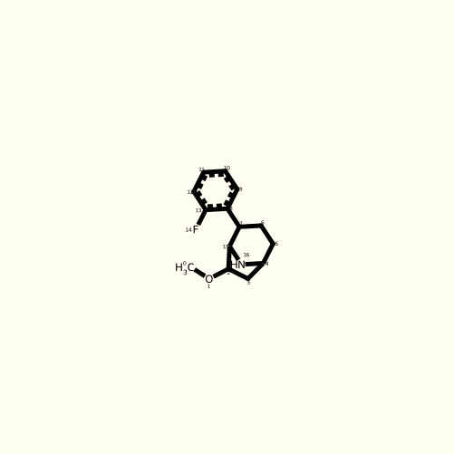 COC1CC2CCC(c3ccccc3F)C1N2